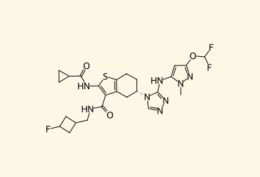 Cn1nc(OC(F)F)cc1Nc1nncn1[C@H]1CCc2sc(NC(=O)C3CC3)c(C(=O)NCC3CC(F)C3)c2C1